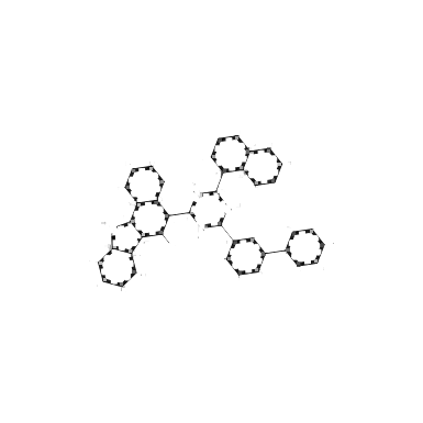 Clc1c(-c2nc(-c3cccc(-c4ccccc4)c3)nc(-c3cccc4ccccc34)n2)c2ccccc2c2sc3ccccc3c12